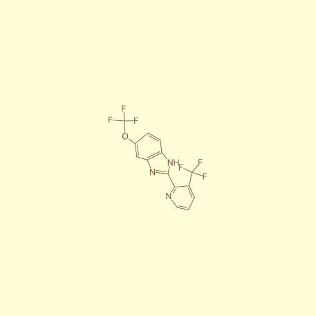 FC(F)(F)Oc1ccc2[nH]c(-c3ncccc3C(F)(F)F)nc2c1